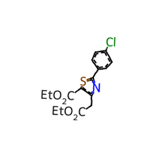 CCOC(=O)Cc1nc(-c2ccc(Cl)cc2)sc1C(=O)OCC